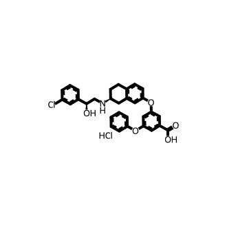 Cl.O=C(O)c1cc(Oc2ccccc2)cc(Oc2ccc3c(c2)C[C@@H](NC[C@@H](O)c2cccc(Cl)c2)CC3)c1